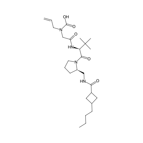 C=CCN(CC(=O)N[C@H](C(=O)N1CCC[C@@H]1CNC(=O)C1CC(CCCC)C1)C(C)(C)C)C(=O)O